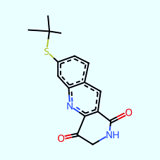 CC(C)(C)Sc1ccc2cc3c(nc2c1)C(=O)CNC3=O